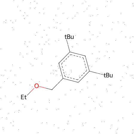 CCOCc1cc(C(C)(C)C)cc(C(C)(C)C)c1